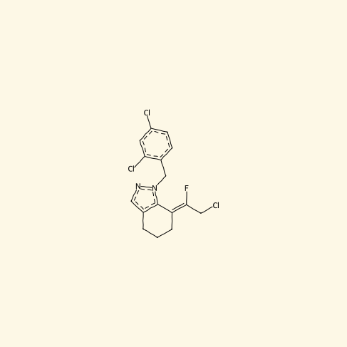 F/C(CCl)=C1/CCCc2cnn(Cc3ccc(Cl)cc3Cl)c21